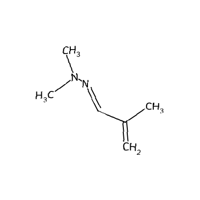 C=C(C)C=NN(C)C